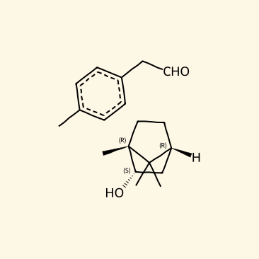 CC1(C)[C@@H]2CC[C@@]1(C)[C@@H](O)C2.Cc1ccc(CC=O)cc1